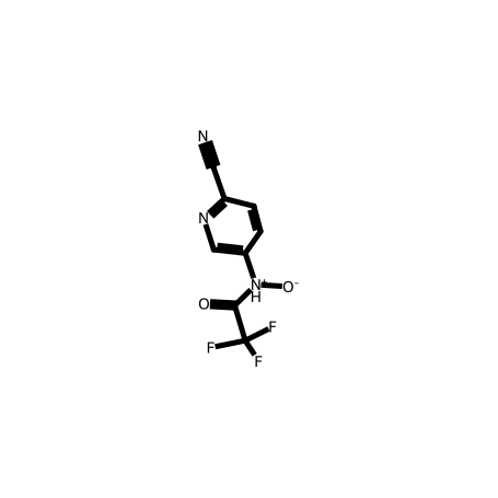 N#Cc1ccc([NH+]([O-])C(=O)C(F)(F)F)cn1